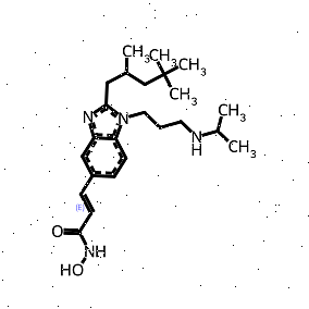 CC(Cc1nc2cc(/C=C/C(=O)NO)ccc2n1CCCNC(C)C)CC(C)(C)C